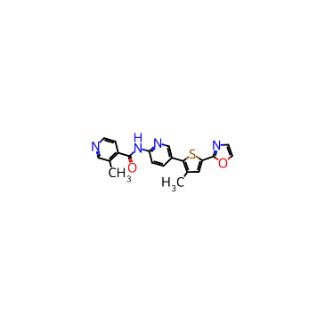 Cc1cnccc1C(=O)Nc1ccc(-c2sc(-c3ncco3)cc2C)cn1